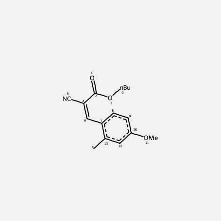 CCCCOC(=O)C(C#N)=Cc1ccc(OC)cc1C